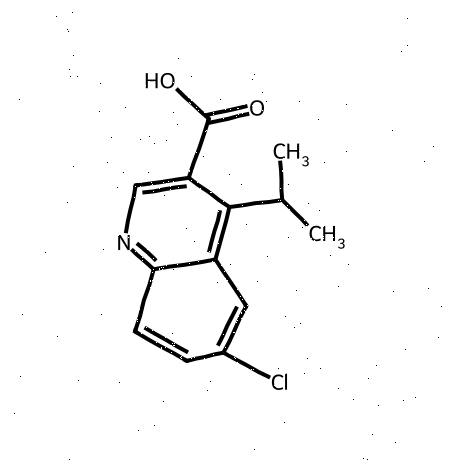 CC(C)c1c(C(=O)O)cnc2ccc(Cl)cc12